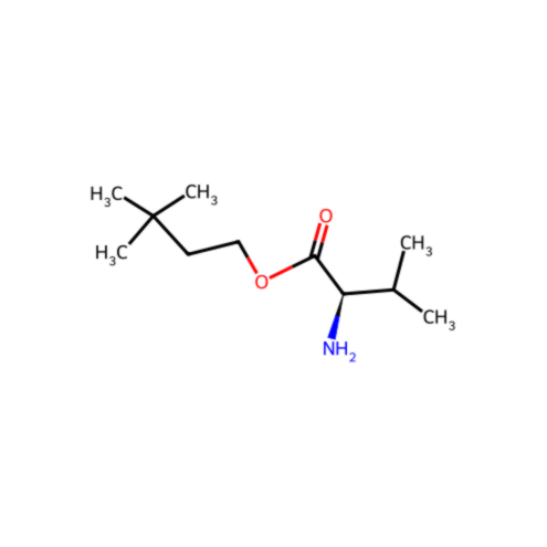 CC(C)[C@@H](N)C(=O)OCCC(C)(C)C